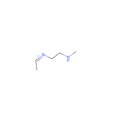 C/C=N\CCNC